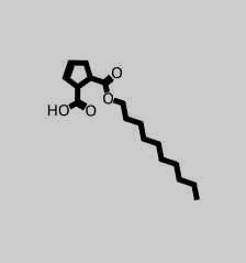 CCCCCCCCCCOC(=O)C1CC=CC1C(=O)O